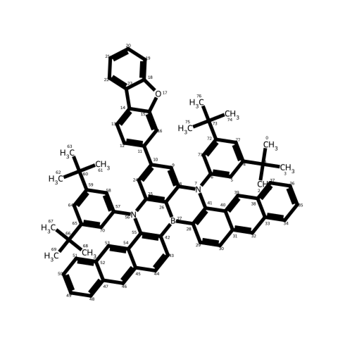 CC(C)(C)c1cc(N2c3cc(-c4ccc5c(c4)oc4ccccc45)cc4c3B(c3ccc5cc6ccccc6cc5c32)c2ccc3cc5ccccc5cc3c2N4c2cc(C(C)(C)C)cc(C(C)(C)C)c2)cc(C(C)(C)C)c1